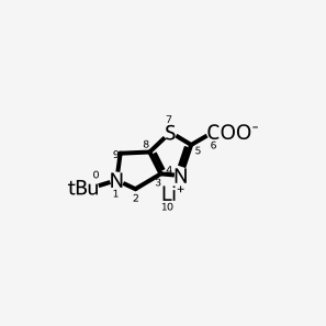 CC(C)(C)N1Cc2nc(C(=O)[O-])sc2C1.[Li+]